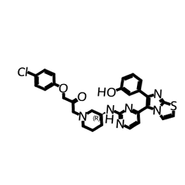 O=C(COc1ccc(Cl)cc1)CN1CCC[C@@H](Nc2nccc(-c3c(-c4cccc(O)c4)nc4sccn34)n2)C1